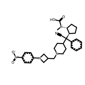 CN(C(=O)O)[C@@H]1CCC[C@H]1C(C#N)(c1ccccc1)C1CCN(CC2CN(c3ccc([N+](=O)[O-])cc3)C2)CC1